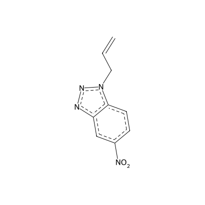 C=CCn1nnc2cc([N+](=O)[O-])ccc21